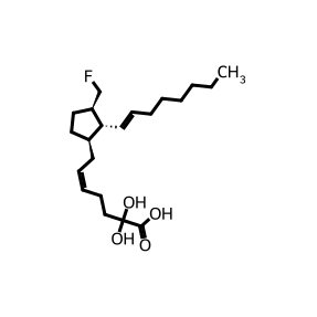 CCCCCC/C=C/[C@H]1[C@H](CF)CC[C@@H]1C/C=C\CCC(O)(O)C(=O)O